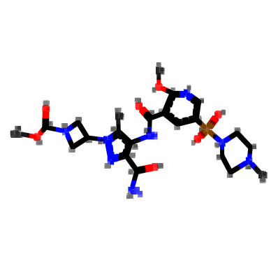 CCOc1ncc(S(=O)(=O)N2CCN(CC)CC2)cc1C(=O)Nc1c(C(N)=O)nn(C2CN(C(=O)OC(C)(C)C)C2)c1CC